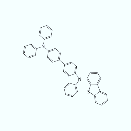 c1ccc(N(c2ccccc2)c2ccc(-c3ccc4c(c3)c3ccccc3n4-c3cccc4c3sc3ccccc34)cc2)cc1